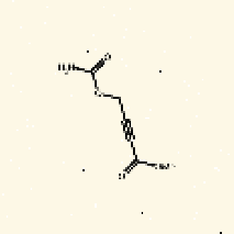 COC(=O)C#CCOC(N)=O